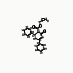 CCOC(=O)C1C(=O)C=C(c2ccccc2)CC1c1ccccc1